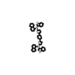 c1ccc2c(N(c3ccc(-c4ccc(-c5ccc(N(c6cccc7ccccc67)c6csc7ccccc67)s5)cc4)s3)c3csc4ccccc34)cccc2c1